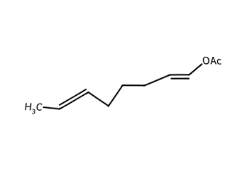 CC=CCCCC=COC(C)=O